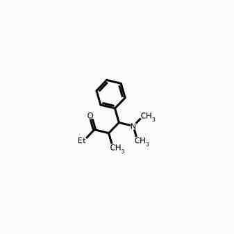 CCC(=O)C(C)C(c1ccccc1)N(C)C